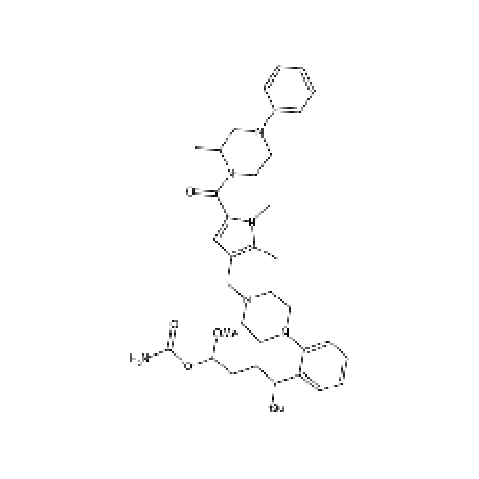 COC(CCC(c1ccccc1N1CCN(Cc2cc(C(=O)N3CCN(c4ccccc4)CC3C)n(C)c2C)CC1)C(C)(C)C)OC(N)=O